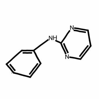 [c]1ccc(Nc2ncccn2)cc1